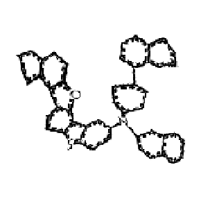 c1ccc2cc(N(c3ccc(-c4cccc5ccccc45)cc3)c3ccc4sc5ccc6c(oc7ccc8ccccc8c76)c5c4c3)ccc2c1